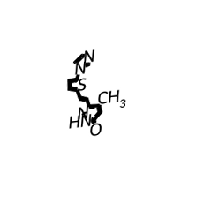 Cc1cc(=O)[nH]nc1C=Cc1ccc(-n2ccnc2)s1